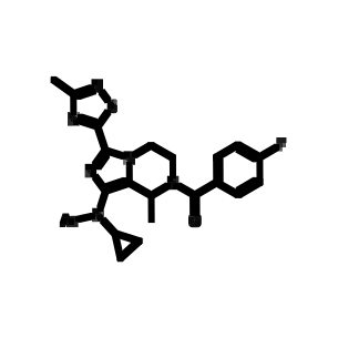 CC(=O)N(c1nc(-c2nc(C)ns2)n2c1C(C)N(C(=O)c1ccc(F)cc1)CC2)C1CC1